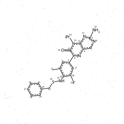 Cc1cc(-c2nc3cnc(N)nc3n(C(C)C)c2=O)cc(F)c1NSCc1ccccc1